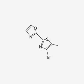 Cc1sc(-c2ncco2)nc1Br